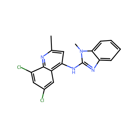 Cc1cc(Nc2nc3ccccc3n2C)c2cc(Cl)cc(Cl)c2n1